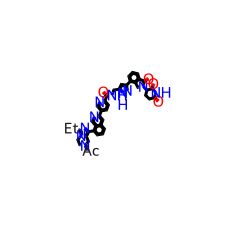 CCc1nc(-c2cccc3cc(-c4ccc(C(=O)NCc5cc(-c6cccc7c6CN(C6CCC(=O)NC6=O)C7=O)n[nH]5)nc4)ncc23)c2n1CCN(C(C)=O)C2